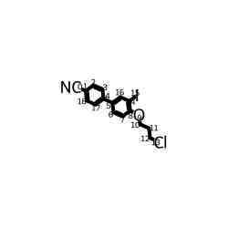 N#Cc1ccc(-c2ccc(OCCCCl)c(I)c2)cc1